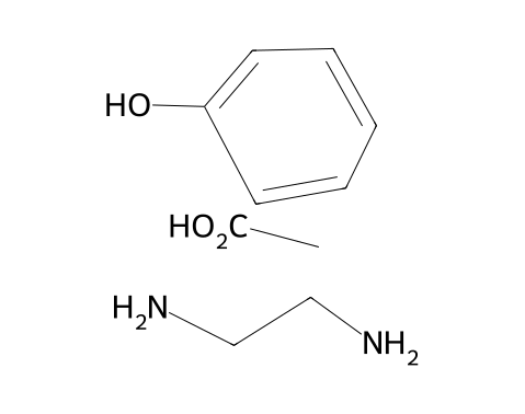 CC(=O)O.NCCN.Oc1ccccc1